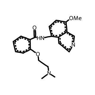 COc1ccc(NC(=O)c2ccccc2OCCN(C)C)c2ccncc12